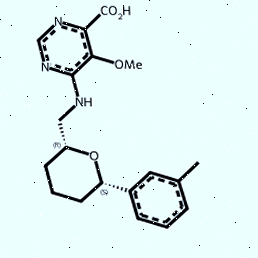 COc1c(NC[C@H]2CCC[C@@H](c3cccc(C)c3)O2)ncnc1C(=O)O